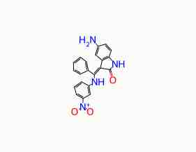 Nc1ccc2c(c1)/C(=C(/Nc1cccc([N+](=O)[O-])c1)c1ccccc1)C(=O)N2